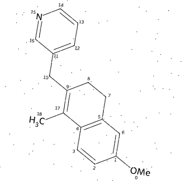 COc1ccc2c(c1)CCC(Cc1cccnc1)=C2C